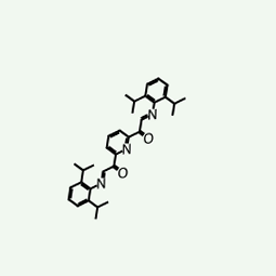 CC(C)c1cccc(C(C)C)c1N=CC(=O)c1cccc(C(=O)C=Nc2c(C(C)C)cccc2C(C)C)n1